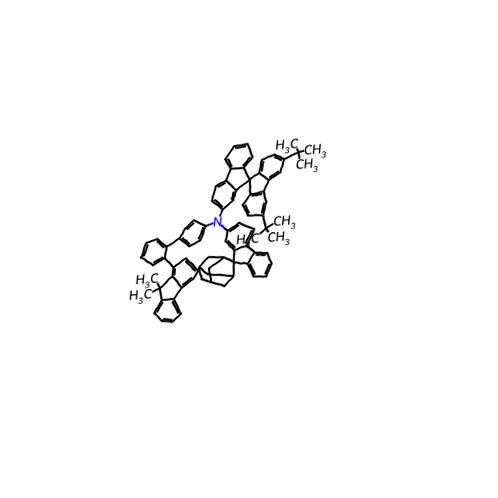 CC(C)(C)c1ccc2c(c1)-c1cc(C(C)(C)C)ccc1C21c2ccccc2-c2ccc(N(c3ccc(-c4ccccc4-c4cccc5c4C(C)(C)c4ccccc4-5)cc3)c3ccc4c(c3)C3(c5ccccc5-4)C4CC5CC(C4)CC3C5)cc21